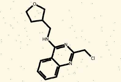 ClCc1nc(NCC2CCOC2)c2ccccc2n1